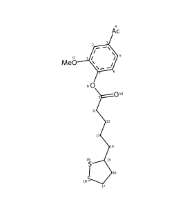 COc1cc(C(C)=O)ccc1OC(=O)CCCCC1CCSS1